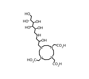 O=C(O)CN1CCN(CC(=O)O)CCN(CC(O)CNC[C@H](O)[C@@H](O)[C@H](O)[C@H](O)CO)CCN(CC(=O)O)CC1